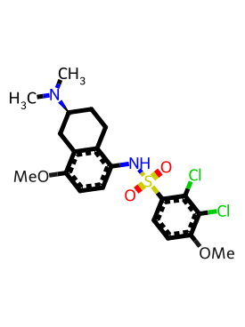 COc1ccc(S(=O)(=O)Nc2ccc(OC)c3c2CC[C@H](N(C)C)C3)c(Cl)c1Cl